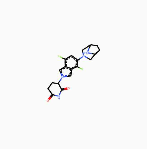 O=C1CCC(n2cc3c(F)cc(N4CC5CCC(C4)N5)c(F)c3c2)C(=O)N1